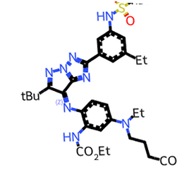 CCCCS(=O)(=O)Nc1cc(CC)cc(-c2nc3n(n2)N=C(C(C)(C)C)/C3=N/c2ccc(N(CC)CCCC(=O)O)cc2NC(=O)OCC)c1